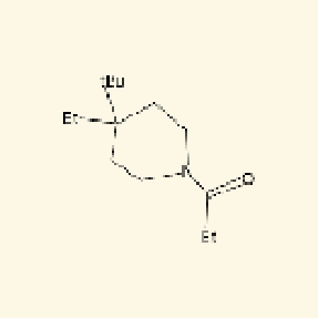 CCC(=O)N1CCC(CC)(C(C)(C)C)CC1